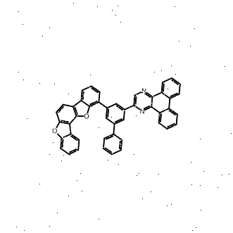 c1ccc(-c2cc(-c3cnc4c5ccccc5c5ccccc5c4n3)cc(-c3cccc4c3oc3c4ccc4oc5ccccc5c43)c2)cc1